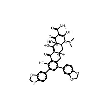 CN(C)[C@@H]1C(O)=C(C(N)=O)C(=O)[C@@]2(O)C(O)=C3C(=O)c4c(O)c(-c5ccc6c(c5)OCO6)cc(-c5ccc6c(c5)OCO6)c4C[C@H]3CC12